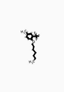 CCCCCCCOc1ccc(C)cc1C(F)(F)F